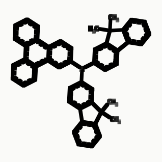 CC1(C)c2ccccc2-c2ccc(N(c3ccc4c(c3)C(C)(C)c3ccccc3-4)c3ccc4c5ccccc5c5ccccc5c4c3)cc21